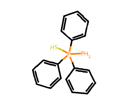 PP(S)(c1ccccc1)(c1ccccc1)c1ccccc1